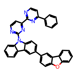 c1ccc(-c2ccnc(-c3ccnc(-n4c5ccccc5c5cc(-c6ccc7oc8ccccc8c7c6)ccc54)n3)n2)cc1